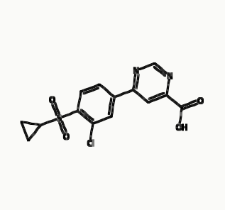 O=C(O)c1cc(-c2ccc(S(=O)(=O)C3CC3)c(Cl)c2)ncn1